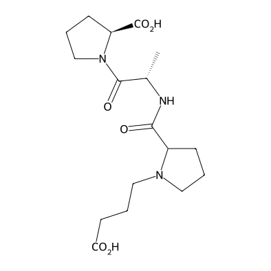 C[C@H](NC(=O)C1CCCN1CCCC(=O)O)C(=O)N1CCC[C@H]1C(=O)O